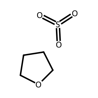 C1CCOC1.O=S(=O)=O